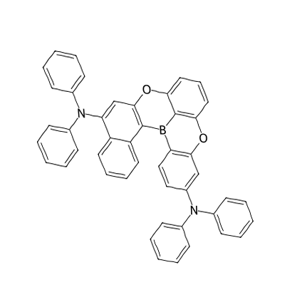 c1ccc(N(c2ccccc2)c2ccc3c(c2)Oc2cccc4c2B3c2c(cc(N(c3ccccc3)c3ccccc3)c3ccccc23)O4)cc1